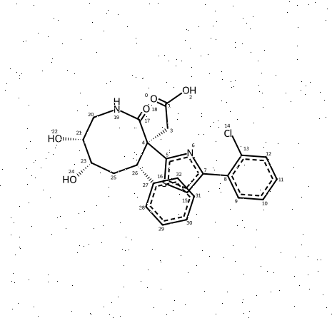 O=C(O)C[C@@]1(c2nc(-c3ccccc3Cl)cs2)C(=O)NC[C@@H](O)[C@@H](O)C[C@H]1c1ccccc1